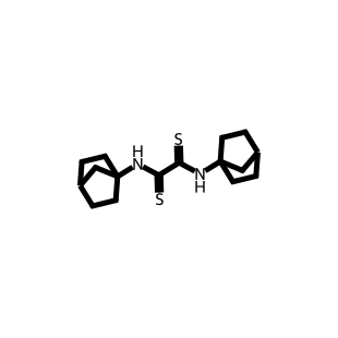 S=C(NC12CCC(CC1)C2)C(=S)NC12CCC(CC1)C2